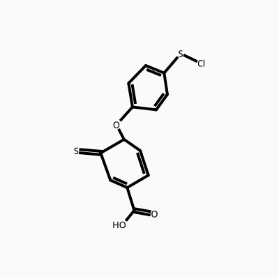 O=C(O)C1=CC(=S)C(Oc2ccc(SCl)cc2)C=C1